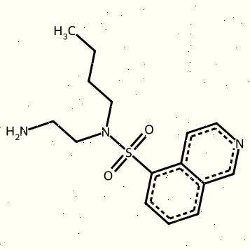 CCCCN(CCN)S(=O)(=O)c1cccc2cnccc12